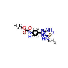 CCOC(=O)C(=O)Nc1ccc(-c2nc(N)n(C(=S)NC)n2)cc1